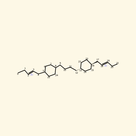 CC/C=C/CC1CCC(CCCC[C@H]2CC[C@H](C/C=C/CC)CC2)CC1